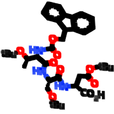 C[C@@H](OC(C)(C)C)[C@H](NC(=O)OCC1c2ccccc2-c2ccccc21)C(=O)N[C@@H](COC(C)(C)C)C(=O)N[C@@H](CC(=O)OC(C)(C)C)C(=O)O